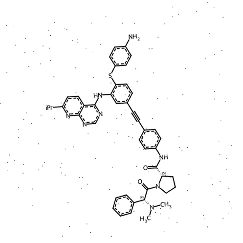 CC(C)c1ccc2c(Nc3cc(C#Cc4ccc(NC(=O)[C@@H]5CCCN5C(=O)[C@@H](c5ccccc5)N(C)C)cc4)ccc3Sc3ccc(N)cc3)ncnc2n1